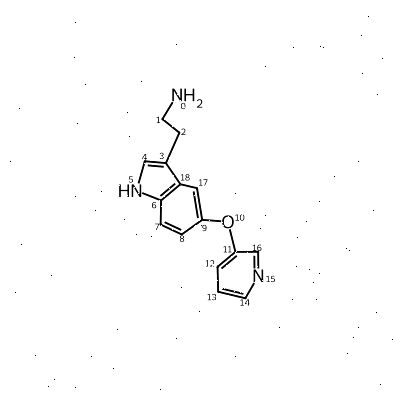 NCCc1c[nH]c2ccc(Oc3cccnc3)cc12